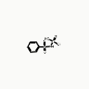 O=P(O)(O)NS(=O)(=O)c1ccccc1